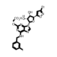 CC(=O)O.CCc1cc([C@H]2O[C@@H](n3cnc4c(NCc5cccc(I)c5)nc(Cl)nc43)[C@H](O)[C@@H]2O)on1